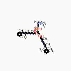 CC1=C(/C=C/C(C)=C/C=C/C(C)=C/C(=O)OCC(COP(=O)(O)OCC[N+](C)(C)C)OC(=O)/C=C(C)/C=C/C=C(C)/C=C/C2=C(C)CCCC2(C)C)C(C)(C)CCC1